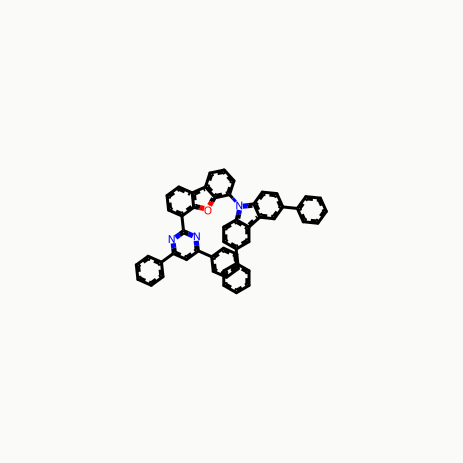 c1ccc(-c2ccc3c(c2)c2cc(-c4ccccc4)ccc2n3-c2cccc3c2oc2c(-c4nc(-c5ccccc5)cc(-c5ccccc5)n4)cccc23)cc1